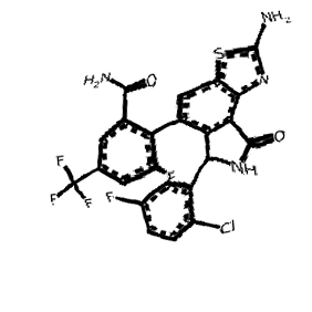 NC(=O)c1cc(C(F)(F)F)cc(F)c1-c1cc2sc(N)nc2c2c1C(c1cc(F)ccc1Cl)NC2=O